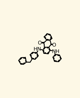 O=C1c2ccccc2C(=O)c2c(Nc3ccc(Cc4ccccc4)cc3)ccc(Nc3ccccc3)c21